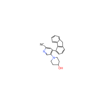 N#Cc1cc(-c2cccc3c2-c2ccccc2C3)c(N2CCC(O)CC2)cn1